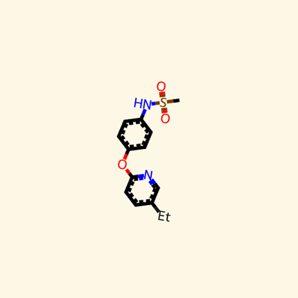 CCc1ccc(Oc2ccc(NS(C)(=O)=O)cc2)nc1